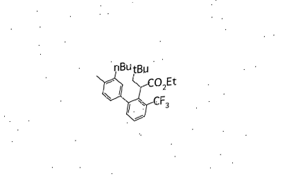 CCCCc1cc(-c2cccc(C(F)(F)F)c2C(CC(C)(C)C)C(=O)OCC)ccc1C